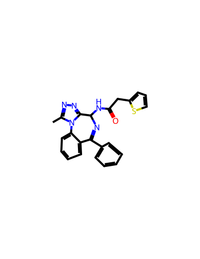 Cc1nnc2n1-c1ccccc1C(c1ccccc1)=NC2NC(=O)Cc1cccs1